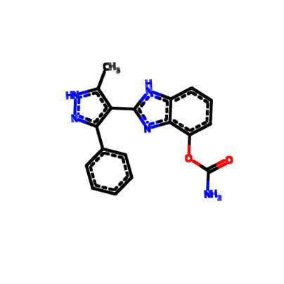 Cc1[nH]nc(-c2ccccc2)c1-c1nc2c(OC(N)=O)cccc2[nH]1